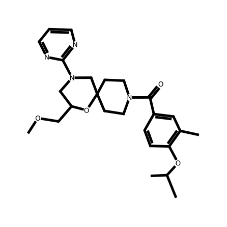 COCC1CN(c2ncccn2)CC2(CCN(C(=O)c3ccc(OC(C)C)c(C)c3)CC2)O1